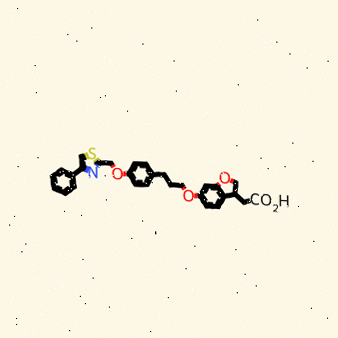 O=C(O)CC1COc2cc(OCCCc3ccc(OCc4nc(-c5ccccc5)cs4)cc3)ccc21